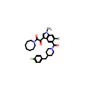 Cn1cc(C(=O)C(=O)N2CCCCCCC2)c2cc(C(=O)N3CCC(Cc4ccc(F)cc4)CC3)c(Cl)cc21